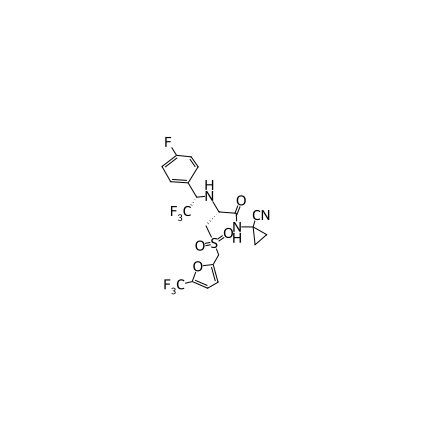 N#CC1(NC(=O)[C@H](CS(=O)(=O)Cc2ccc(C(F)(F)F)o2)N[C@@H](c2ccc(F)cc2)C(F)(F)F)CC1